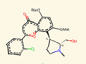 COc1cc(OC)c2c(=O)cc(-c3ccccc3Cl)oc2c1[C@@H]1CCN(C)[C@H]1CO.Cl